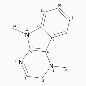 CN1CC=Nc2c1c1ccccc1n2C